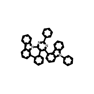 c1ccc(-c2nc(-c3cccc4c3c3ccccc3n4-c3ccccc3)c3c(n2)-n2c4ccccc4c4cccc(c42)-c2ccccc2-3)cc1